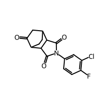 O=C1CC2CCC1C1C(=O)N(c3ccc(F)c(Cl)c3)C(=O)C21